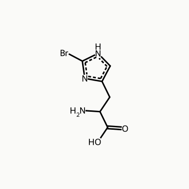 NC(Cc1c[nH]c(Br)n1)C(=O)O